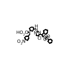 O=C(O)N(Cc1ccc([N+](=O)[O-])cc1)[C@H]1CCC[C@@H](Nc2ncc(Cl)c(-c3cn(S(=O)(=O)c4ccccc4)c4ccccc34)n2)C1